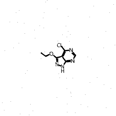 CCOc1n[nH]c2ncnc(Cl)c12